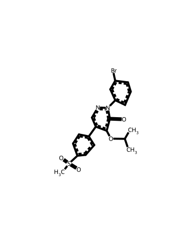 CC(C)Oc1c(-c2ccc(S(C)(=O)=O)cc2)cnn(-c2cccc(Br)c2)c1=O